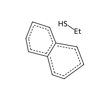 CCS.c1ccc2ccccc2c1